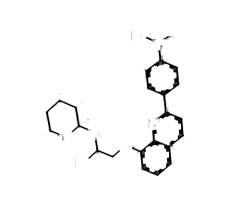 CCC(COc1cccc2ccc(-c3ccc(N(CC)CC)cc3)nc12)OC1CCCCO1